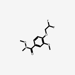 COc1cc(C(=O)N(C)OC)ccc1OCC(F)F